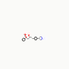 CC(C)(O)CC1(c2ccccc2)CCC(CCc2ccc(C3CCNCC3)cc2)C(=O)O1